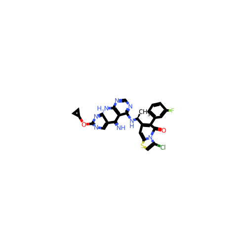 C[C@H](Nc1ncnc(N)c1C(=N)c1cnc(OC2CC2)nc1)c1cc2scc(Cl)n2c(=O)c1-c1cccc(F)c1